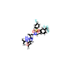 C=C(CCN(Cc1ccc(C(F)(F)F)cc1)S(=O)(=O)c1ccc(F)cc1)C1=NCC(CCC)(C(=O)NC(C)C)N1